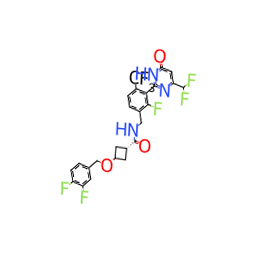 O=c1cc(C(F)F)nc(-c2c(C(F)(F)F)ccc(CNC(=O)[C@H]3C[C@H](OCc4ccc(F)c(F)c4)C3)c2F)[nH]1